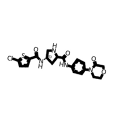 O=C(N[C@@H]1CNC(C(=O)Nc2ccc(N3CCOCC3=O)cc2)C1)c1ccc(Cl)s1